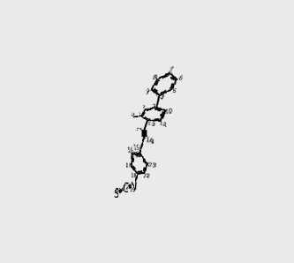 Cc1cc(-c2ccccc2)ccc1C#Cc1ccc(N=C=S)cc1